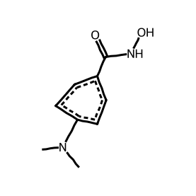 CN(C)c1ccc(C(=O)NO)cc1